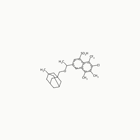 Cc1c(Cl)c(C(F)(F)F)c2c(S(=O)(=O)O)cc(C(C)OCC34CC5CC(CC(C)(C5)C3)C4)cc2c1C